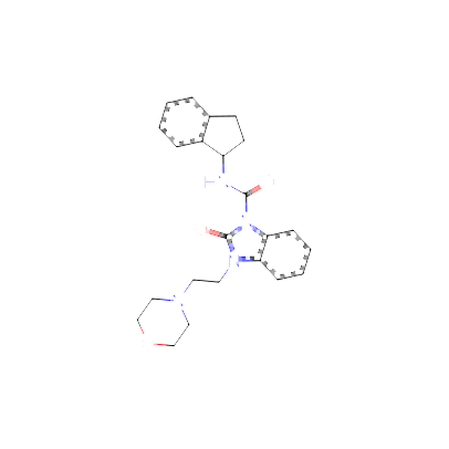 O=C(NC1CCc2ccccc21)n1c(=O)n(CCN2CCOCC2)c2ccccc21